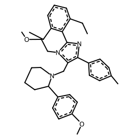 CCc1cccc(CC)c1-c1nc(-c2ccc(C)cc2)c(CN2CCCCC2c2ccc(OC)cc2)n1CCOC